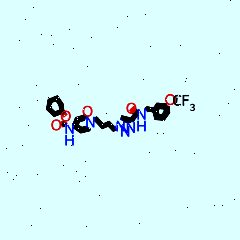 O=C(Nc1ccn(CCCCn2cc(C(=O)NCc3cccc(OC(F)(F)F)c3)nn2)c(=O)c1)OC1CCCCC1